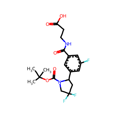 CC(C)(C)OC(=O)N1CC(F)(F)CC1c1cc(F)cc(C(=O)NCCC(=O)O)c1